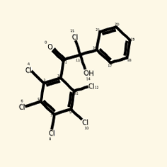 O=C(c1c(Cl)c(Cl)c(Cl)c(Cl)c1Cl)C(O)(Cl)c1ccccc1